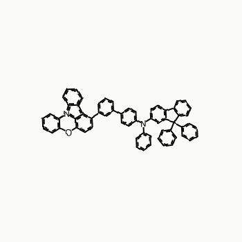 c1ccc(N(c2ccc(-c3cccc(-c4ccc5c6c4c4ccccc4n6-c4ccccc4O5)c3)cc2)c2ccc3c(c2)C(c2ccccc2)(c2ccccc2)c2ccccc2-3)cc1